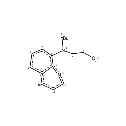 CC(C)(C)N(CCO)c1cccc2cccnc12